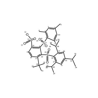 Cc1cc(C)c(S(=O)(=O)c2c(S([O])(=O)=O)ccc(C(C)(C)C)c2S(=O)(=O)c2c(C(C)C)cc(C(C)C)cc2C(C)C)c(C)c1